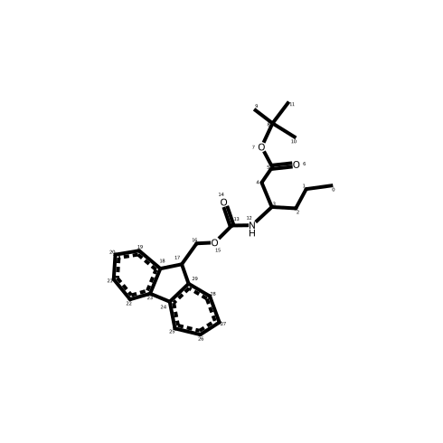 CCCC(CC(=O)OC(C)(C)C)NC(=O)OCC1c2ccccc2-c2ccccc21